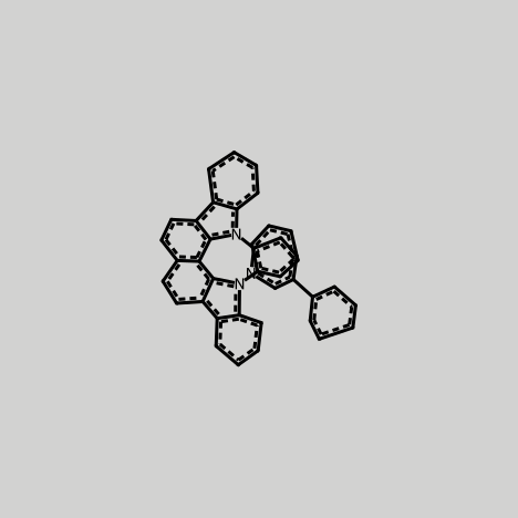 c1ccc(-c2ccc(-n3c4ccccc4c4ccc5ccc6c7ccccc7n(-c7ccccc7)c6c5c43)nc2)cc1